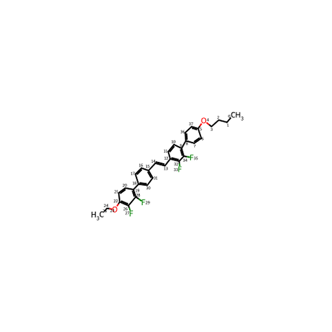 CCCCOc1ccc(-c2ccc(/C=C/c3ccc(-c4ccc(OCC)c(F)c4F)cc3)c(F)c2F)cc1